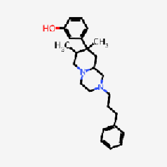 CC1CN2CCN(CCCc3ccccc3)CC2CC1(C)c1cccc(O)c1